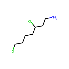 NCCC(Cl)CCCCCl